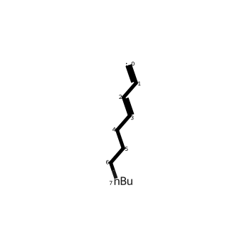 [C]=CC=CCCCCCCC